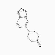 O=C1CCC(c2ccc3nccn3c2)CC1